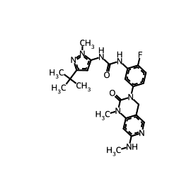 CNc1cc2c(cn1)CN(c1ccc(F)c(NC(=O)Nc3cc(C(C)(C)C)nn3C)c1)C(=O)N2C